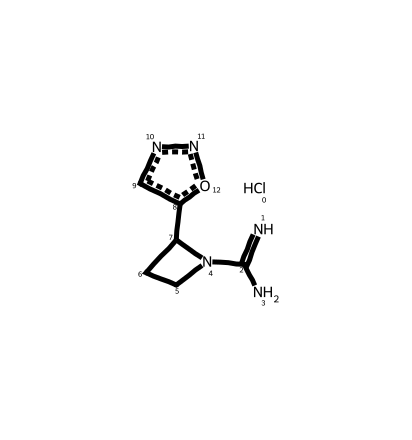 Cl.N=C(N)N1CCC1c1cnno1